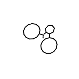 C1CCCCCCC(NC2CCCCCC2C2CCCCCCCCCCCC2)CCCCC1